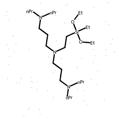 CCCN(CCC)CCCN(CCCN(CCC)CCC)CC[Si](CC)(OCC)OCC